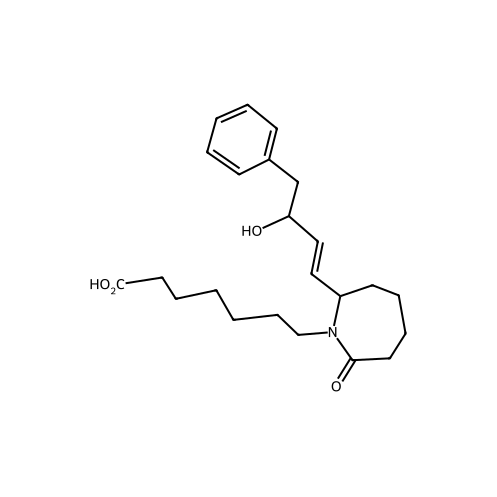 O=C(O)CCCCCCN1C(=O)CCCCC1C=CC(O)Cc1ccccc1